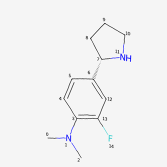 CN(C)c1ccc([C@@H]2CCCN2)cc1F